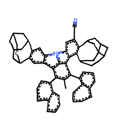 Cc1c(-c2cccc3ccccc23)c2c3cc4c(cc3n3c5cc(C#N)c6c(c5c(c1-c1cccc5ccccc15)c23)C1CC2CC3CC6CC32C1)C1CC2CC(CC4C2)C1